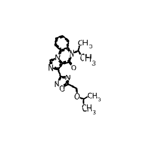 CC(C)OCc1nc(-c2ncn3c2c(=O)n(C(C)C)c2ccccc23)no1